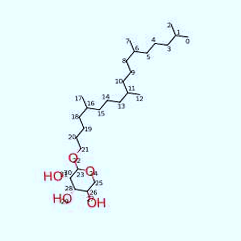 CC(C)CCCC(C)CCCC(C)CCCC(C)CCCCOC1OC[C@@H](O)[C@H](O)[C@@H]1O